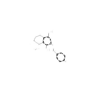 Cc1cc(OCc2ccc(Cl)cc2)c(C)c2c1CC[C@@H](C)[C@H]2OC=O